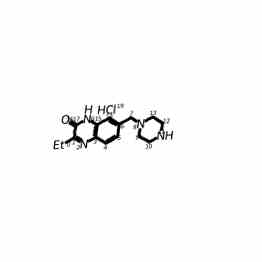 CCc1nc2ccc(CN3CCNCC3)cc2[nH]c1=O.Cl